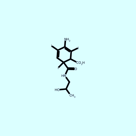 CC(O)CNC(=O)C1(I)C=C(I)C(N)=C(I)C1C(=O)O